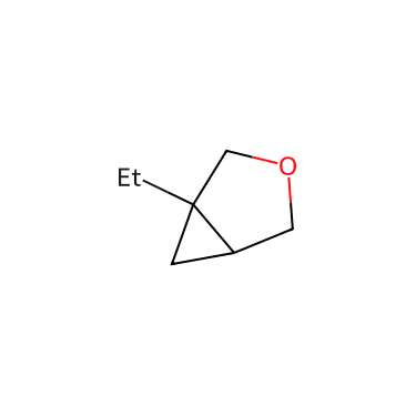 [CH2]CC12COCC1C2